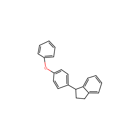 c1ccc(Oc2ccc(C3CCc4ccccc43)cc2)cc1